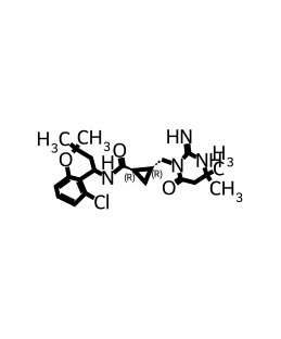 CC1(C)CC(=O)N(C[C@@H]2C[C@H]2C(=O)NC2CC(C)(C)Oc3cccc(Cl)c32)C(=N)N1